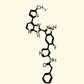 Cc1ccc(-c2ccnc3[nH]c(-c4n[nH]c5cc(F)c(-c6cncc(NC(=O)Cc7ccccc7)c6)cc45)nc23)s1